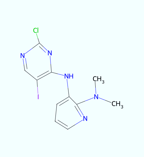 CN(C)c1ncccc1Nc1nc(Cl)ncc1I